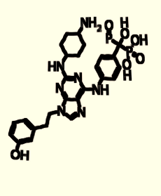 NC1CCC(Nc2nc(Nc3ccc(C(O)(P=O)P(=O)(O)O)cc3)c3ncn(CCc4cccc(O)c4)c3n2)CC1